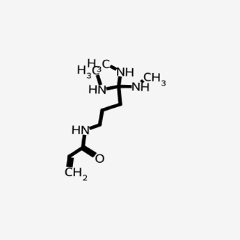 C=CC(=O)NCCCC(NC)(NC)NC